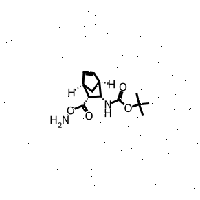 CC(C)(C)OC(=O)N[C@@H]1[C@H](C(=O)ON)[C@H]2C=C[C@@H]1C2